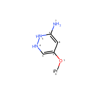 CC(C)OC1=CNNC(N)=C1